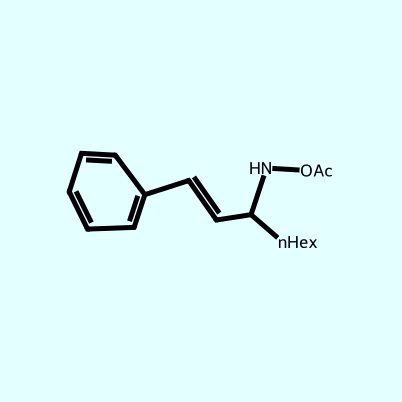 CCCCCCC(C=Cc1ccccc1)NOC(C)=O